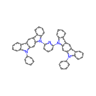 c1ccc(-n2c3ccccc3c3cc4c5ccccc5n(-c5cccc(-n6c7ccccc7c7cc8c9ccccc9n(-c9ccccc9)c8cc76)n5)c4cc32)cc1